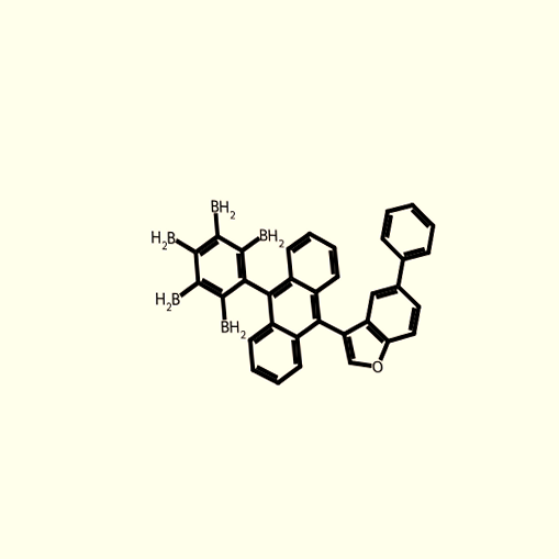 Bc1c(B)c(B)c(-c2c3ccccc3c(-c3coc4ccc(-c5ccccc5)cc34)c3ccccc23)c(B)c1B